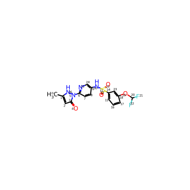 Cc1cc(=O)n(-c2ccc(NS(=O)(=O)c3cccc(OC(F)F)c3)cn2)[nH]1